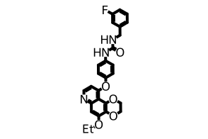 CCOc1cc2nccc(Oc3ccc(NC(=O)NCc4cccc(F)c4)cc3)c2c2c1OCCO2